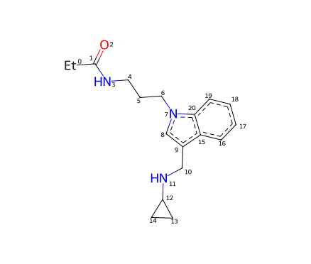 CCC(=O)NCCCn1cc(CNC2CC2)c2ccccc21